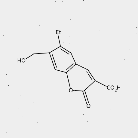 CCc1cc2cc(C(=O)O)c(=O)oc2cc1CO